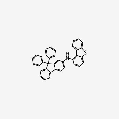 c1ccc(C2(c3ccccc3)c3ccccc3-c3ccc(Nc4cccc5sc6ccccc6c45)cc32)cc1